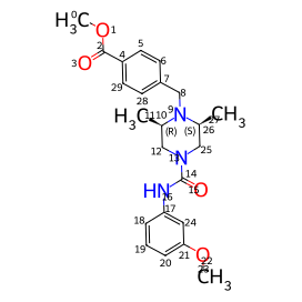 COC(=O)c1ccc(CN2[C@H](C)CN(C(=O)Nc3cccc(OC)c3)C[C@@H]2C)cc1